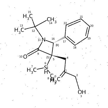 C=C(CO)C[C@@]1([SiH](C)C)C(=O)N(C(C)(C)C)[C@@H]1c1ccccc1